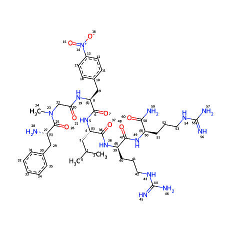 CC(C)C[C@H](NC(=O)[C@H](Cc1ccc([N+](=O)[O-])cc1)NC(=O)CN(C)C(=O)[C@@H](N)Cc1ccccc1)C(=O)N[C@H](CCCNC(=N)N)C(=O)N[C@H](CCCNC(=N)N)C(N)=O